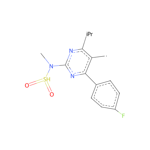 [CH2]c1c(-c2ccc(F)cc2)nc(N(C)[SH](=O)=O)nc1C(C)C